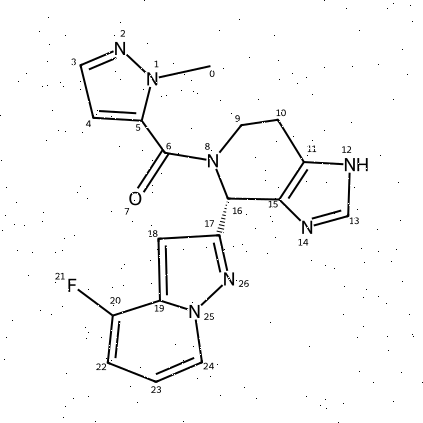 Cn1nccc1C(=O)N1CCc2[nH]cnc2[C@@H]1c1cc2c(F)cccn2n1